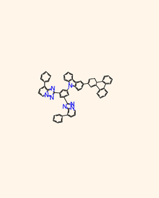 C1=C(c2ccc3c(c2)c2ccccc2n3-c2cc(-c3nc4c(-c5ccccc5)cccn4n3)cc(-c3nc4c(-c5ccccc5)cccn4n3)c2)C=C2c3ccccc3-c3ccccc3C2C1